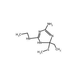 CCNC1=NC(N)=NC(CC)(SC)N1